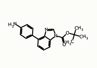 CC(C)(C)OC(=O)n1cnc2c(-c3ccc(N)cc3)cccc21